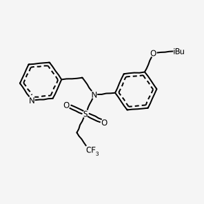 CCC(C)Oc1cccc(N(Cc2cccnc2)S(=O)(=O)CC(F)(F)F)c1